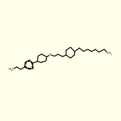 CCCCCCCCC1CCC(CCCOC2CCC(c3ccc(CCC)cc3)CC2)CC1